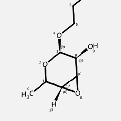 CC1O[C@@H](OCCO)[C@@H](O)C2O[C@H]12